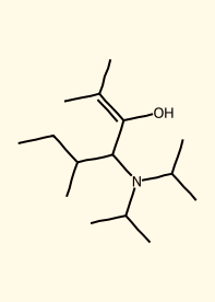 CCC(C)C(C(O)=C(C)C)N(C(C)C)C(C)C